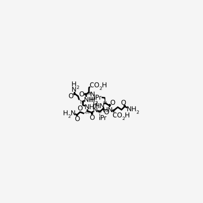 CC(C)C[C@H](NC(=O)[C@@H](NC(=O)[C@H](CCC(N)=O)NC(=O)[C@H](CCC(N)=O)NC(=O)[C@@H](N)CC(=O)O)C(C)C)C(=O)N[C@@H](CCC(N)=O)C(=O)O